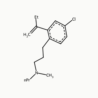 C=C(CC)c1cc(Cl)ccc1CCCN(C)CCC